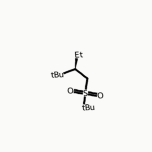 CC[C@@H](CS(=O)(=O)C(C)(C)C)C(C)(C)C